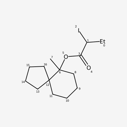 CCC(I)C(=O)OC1(C)CCCCC12CCCC2